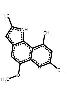 COc1cc2cc(C)[nH]c2c2c(C)cc(C)nc12